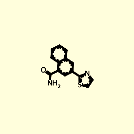 NC(=O)c1cc(-c2nccs2)cc2ccccc12